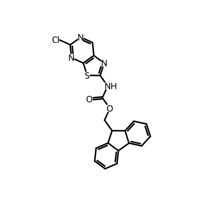 O=C(Nc1nc2cnc(Cl)nc2s1)OCC1c2ccccc2-c2ccccc21